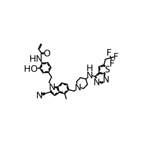 C=CC(=O)Nc1ccc(CCn2c(C#N)cc3c(C)c(CN4CCC(Nc5ncnc6sc(CC(F)(F)F)cc56)CC4)ccc32)cc1O